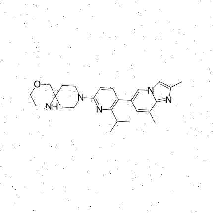 Cc1cn2cc(-c3ccc(N4CCC5(CC4)COCCN5)nc3C(C)C)cc(C)c2n1